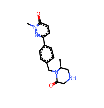 C[C@H]1CNCC(=O)N1Cc1ccc(-c2ccc(=O)n(C)n2)cc1